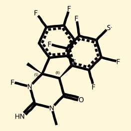 CN1C(=N)N(F)[C@](C)(c2cc(F)c(F)cc2F)[C@@H](c2c(F)c(F)c([S])c(F)c2F)C1=O